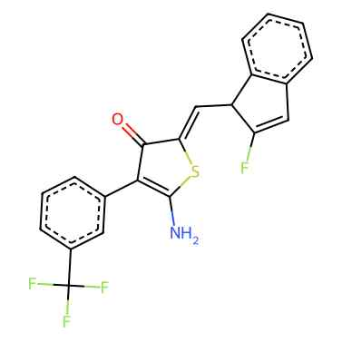 NC1=C(c2cccc(C(F)(F)F)c2)C(=O)/C(=C/C2C(F)=Cc3ccccc32)S1